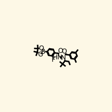 CCC(N(NC(=O)c1ccc(B2OC(C)(C)C(C)(C)O2)cc1F)C(=O)c1cc(C)cc(C)c1)C(C)(C)C